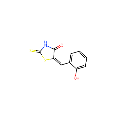 O=C1NC(=S)S/C1=C/c1ccccc1O